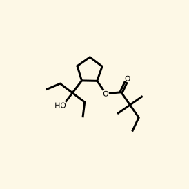 CCC(C)(C)C(=O)OC1CCCC1C(O)(CC)CC